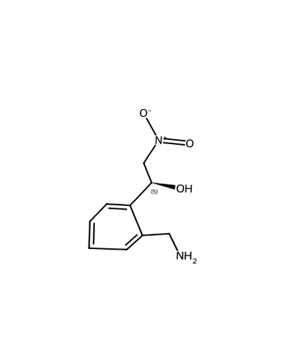 NCc1ccccc1[C@H](O)C[N+](=O)[O-]